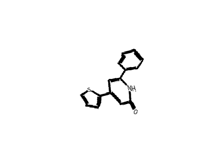 O=c1cc(-c2cccs2)cc(-c2ccccc2)[nH]1